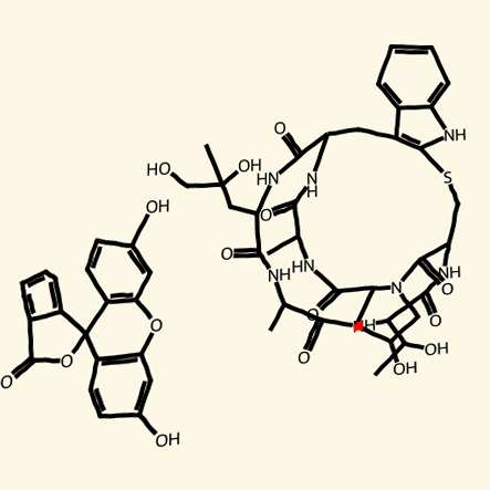 CC1NC(=O)C(CC(C)(O)CO)NC(=O)C2Cc3c([nH]c4ccccc34)SCC(NC(=O)C(C(C)O)NC1=O)C(=O)N1CC(O)CC1C(=O)NC(C)C(=O)N2.O=C1OC2(c3ccc(O)cc3Oc3cc(O)ccc32)c2ccccc21